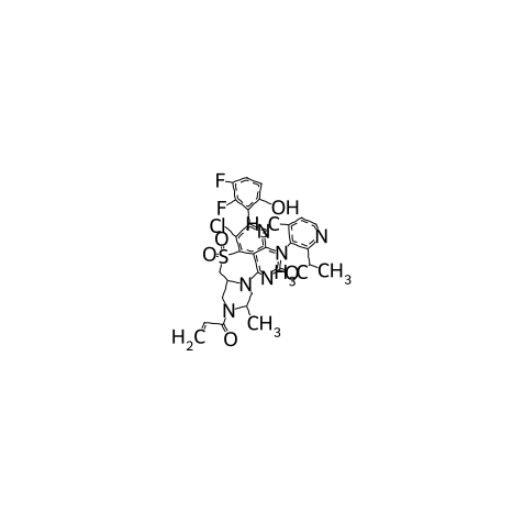 C=CC(=O)N1CC2CS(=O)(=O)c3c(Cl)c(-c4c(O)ccc(F)c4F)nc4c3c(nc(=O)n4-c3c(C)ccnc3C(C)C)N2CC1C